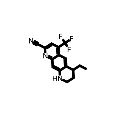 CCC1CCNc2cc3nc(C#N)cc(C(F)(F)F)c3cc21